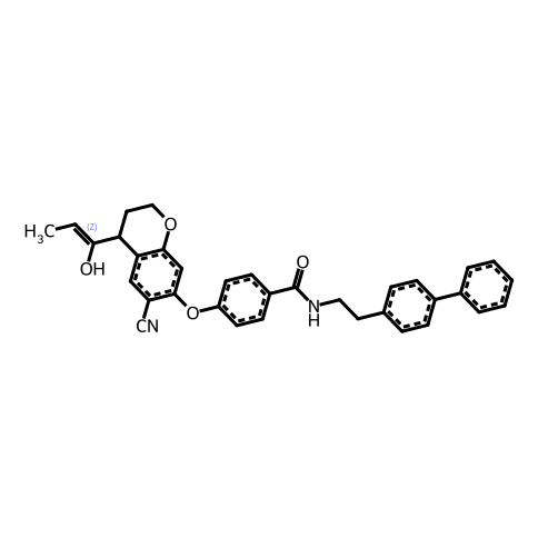 C/C=C(\O)C1CCOc2cc(Oc3ccc(C(=O)NCCc4ccc(-c5ccccc5)cc4)cc3)c(C#N)cc21